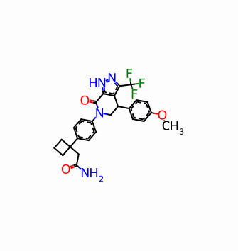 COc1ccc(C2CN(c3ccc(C4(CC(N)=O)CCC4)cc3)C(=O)c3[nH]nc(C(F)(F)F)c32)cc1